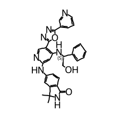 CC1(C)NC(=O)c2ccc(Nc3cc(N[C@H](CO)c4ccccc4)c(-c4nnc(-c5cccnc5)o4)cn3)cc21